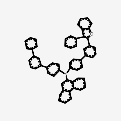 c1ccc(-c2cccc(-c3ccc(N(c4ccc(-c5cccc(-c6oc7ccccc7c6-c6ccccc6)c5)cc4)c4cc5ccccc5c5ccccc45)cc3)c2)cc1